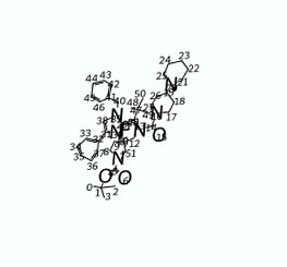 CC(C)(C)OC(=O)N1CC[C@](F)(CN(C(=O)N2CCC(N3CCCCC3)CC2)[C@@H](c2nc(-c3ccccc3)cn2Cc2ccccc2)C(C)(C)C)C1